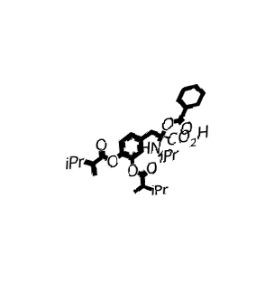 CC(C)N[C@@](Cc1ccc(OC(=O)C(C)C(C)C)c(OC(=O)C(C)C(C)C)c1)(OC(=O)C1CCCCC1)C(=O)O